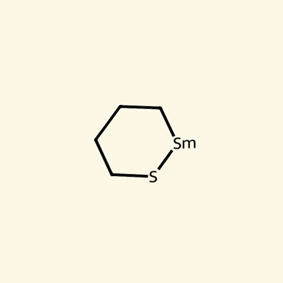 C1C[CH2][Sm][S]C1